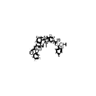 O=C(OC(O)c1ccccc1)c1ccc2[nH]c(-c3cccc4c3[nH]c(=O)n4CC3COc4ccccc4O3)nc2c1